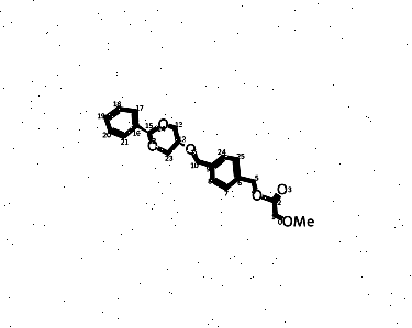 COCC(=O)OCc1ccc(CO[C@H]2CO[C@H](c3ccccc3)OC2)cc1